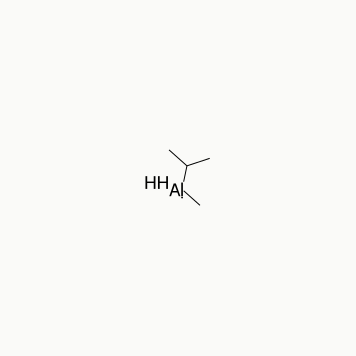 [CH3][Al][CH](C)C.[HH]